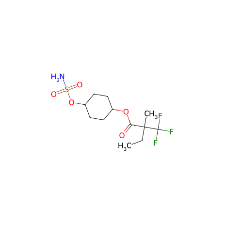 CCC(C)(C(=O)OC1CCC(OS(N)(=O)=O)CC1)C(F)(F)F